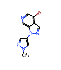 Cn1cc(-n2ncc3c(Br)cncc32)cn1